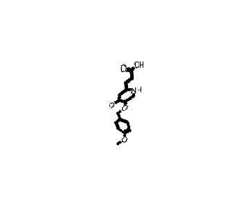 COc1ccc(COc2c[nH]c(C=CC(=O)O)cc2=O)cc1